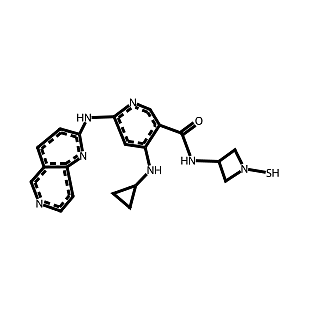 O=C(NC1CN(S)C1)c1cnc(Nc2ccc3cnccc3n2)cc1NC1CC1